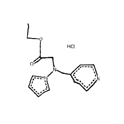 CCOC(=O)CN(c1ccncc1)n1cccc1.Cl